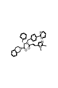 Cc1ncc(/C=C/C(=O)N(Cc2ccc(-c3ncccn3)cc2)[C@@H](Cc2ccccc2)C(=O)N2CCc3ccccc3C2)n1C